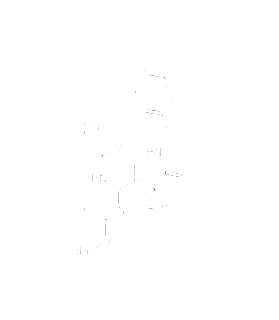 Cc1ccc(CNC(=O)C2(N/C(=N/C(=O)OC(C)(C)C)NC(=O)OC(C)(C)C)CC2)cc1